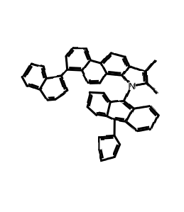 Cc1c(C)n(-c2c3ccccc3c(-c3ccccc3)c3ccccc23)c2c1ccc1c3cccc(-c4cccc5ccccc45)c3ccc12